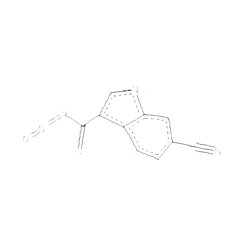 N#Cc1ccc2c(C(=O)N=[N+]=[N-])c[nH]c2c1